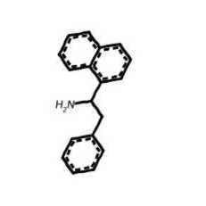 NC(Cc1ccccc1)c1cccc2ccccc12